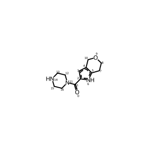 O=C(c1cc2c([nH]1)CCOC2)N1CCNCC1